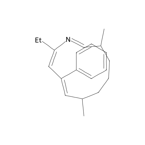 CCC1=C/C(c2ccccc2)=C/C(C)CCCC(C)\C=N\1